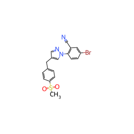 CS(=O)(=O)c1ccc(Cc2cnn(-c3ccc(Br)cc3C#N)c2)cc1